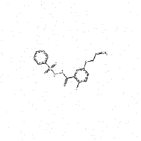 C=CCOc1ccc(F)c(C(=O)NNS(=O)(=O)c2ccccc2)c1